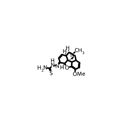 COC1=C2O[C@H]3C(=NNC(N)=S)C=C[C@H]4[C@H]5CC(C=C1)C2[C@@]34CCN5C